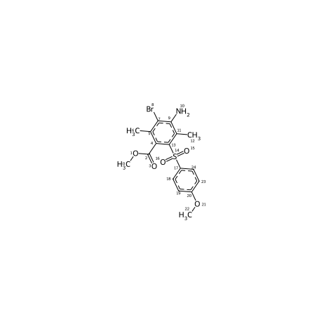 COC(=O)c1c(C)c(Br)c(N)c(C)c1S(=O)(=O)c1ccc(OC)cc1